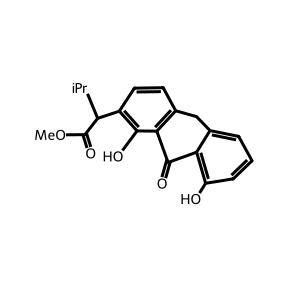 COC(=O)C(c1ccc2c(c1O)C(=O)c1c(O)cccc1C2)C(C)C